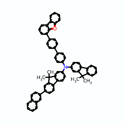 CC1(C)c2ccccc2-c2ccc(N(c3ccc(-c4ccc(-c5cccc6c5oc5ccccc56)cc4)cc3)c3ccc4c(c3)C(C)(C)c3cc(-c5ccc6ccccc6c5)ccc3-4)cc21